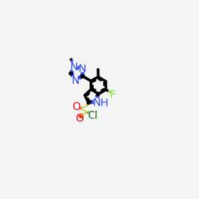 Cc1cc(F)c2[nH]c(S(=O)(=O)Cl)cc2c1-c1ncn(C)n1